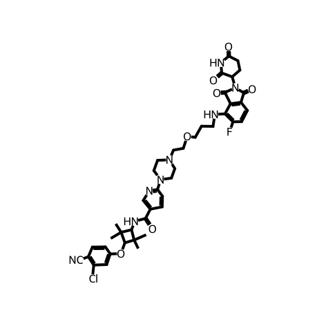 CC1(C)C(NC(=O)c2ccc(N3CCN(CCOCCCNc4c(F)ccc5c4C(=O)N(C4CCC(=O)NC4=O)C5=O)CC3)nc2)C(C)(C)C1Oc1ccc(C#N)c(Cl)c1